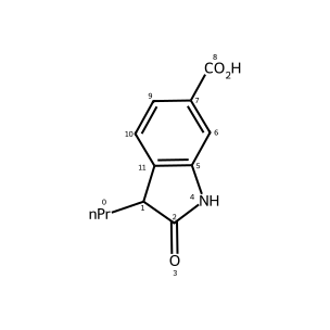 CCCC1C(=O)Nc2cc(C(=O)O)ccc21